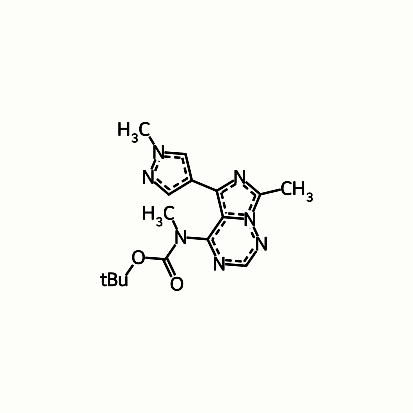 Cc1nc(-c2cnn(C)c2)c2c(N(C)C(=O)OC(C)(C)C)ncnn12